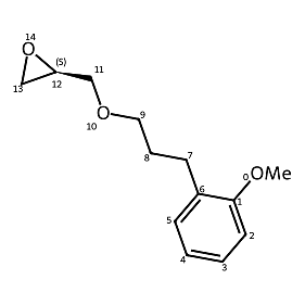 COc1ccccc1CCCOC[C@H]1CO1